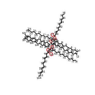 CCCCCCCCCCC[CH2][Sn]([CH2]CCCCCCCCCCC)([O]C(=O)CCCCCCCCCCC)[O][Sn]([CH2]CCCCCCCCCCC)([CH2]CCCCCCCCCCC)[O][Sn]([CH2]CCCCCCCCCCC)([CH2]CCCCCCCCCCC)[O]C(=O)CCCCCCCCCCC